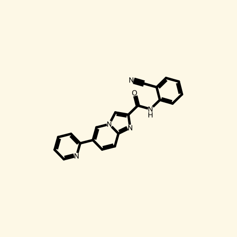 N#Cc1ccccc1NC(=O)c1cn2cc(-c3ccccn3)ccc2n1